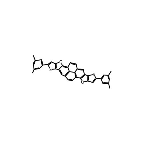 Cc1cc(C)cc(-c2cc3oc4c(cc5ccc6c7oc8cc(-c9cc(C)cc(C)c9)sc8c7cc7ccc4c5c76)c3s2)c1